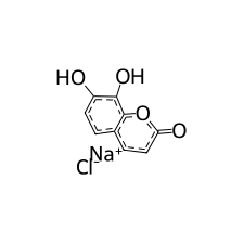 O=c1ccc2ccc(O)c(O)c2o1.[Cl-].[Na+]